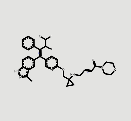 O=C(/C=C/CNC1(COc2ccc(/C(=C(/c3ccccc3)C(F)C(F)F)c3ccc4[nH]nc(F)c4c3)cn2)CC1)N1CCOCC1